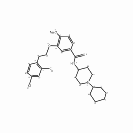 COc1ccc(C(=O)NC2CCN(C3CCCCC3)CC2)cc1OCCc1ccc(Cl)cc1Cl